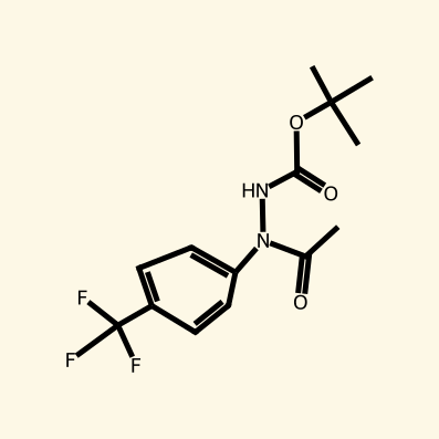 CC(=O)N(NC(=O)OC(C)(C)C)c1ccc(C(F)(F)F)cc1